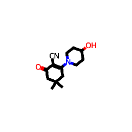 CC1(C)CC(=O)C(C#N)=C(N2CCC(O)CC2)C1